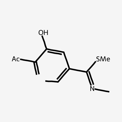 C=C(C(C)=O)\C(O)=C/C(=C\C)C(=N/C)/SC